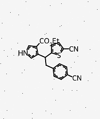 CCOC(=O)c1c[nH]cc1C(Cc1ccc(C#N)cc1)c1ccc(C#N)s1